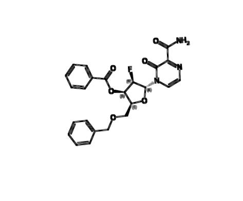 NC(=O)c1nccn([C@@H]2O[C@@H](COCc3ccccc3)[C@@H](OC(=O)c3ccccc3)[C@H]2F)c1=O